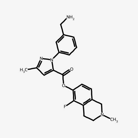 Cc1cc(C(=O)Oc2ccc3c(c2F)CCN(C)C3)n(-c2cccc(CN)c2)n1